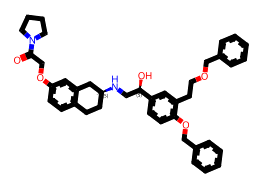 O=C(COc1ccc2c(c1)C[C@@H](NC[C@@H](O)c1ccc(OCc3ccccc3)c(CCOCc3ccccc3)c1)CC2)N1CCCC1